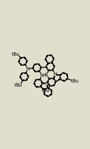 CC(C)(C)c1ccc(N(c2ccc(C(C)(C)C)cc2)c2ccc3c(c2)N(c2cccc4c2oc2ccccc24)B2c4c(cc5ccccc5c4-3)-n3c4ccc(C(C)(C)C)cc4c4cc(C(C)(C)C)cc2c43)cc1